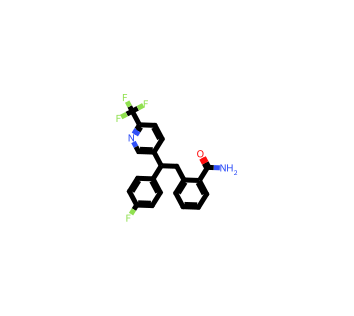 NC(=O)c1ccccc1CC(c1ccc(F)cc1)c1ccc(C(F)(F)F)nc1